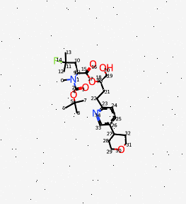 CN(C(=O)OC(C)(C)C)[C@@H](CC(C)(C)F)C(=O)O[C@@H](CO)CCc1ccc(C2CCOCC2)cn1